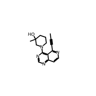 CC#Cc1nccc2ncnc(N3CCCC(C)(O)C3)c12